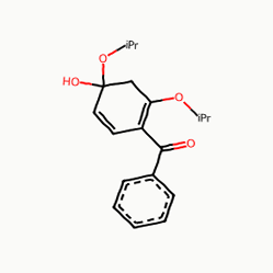 CC(C)OC1=C(C(=O)c2ccccc2)C=CC(O)(OC(C)C)C1